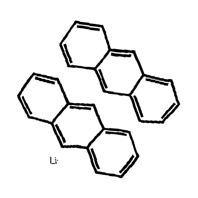 [Li].c1ccc2cc3ccccc3cc2c1.c1ccc2cc3ccccc3cc2c1